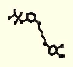 Oc1ccc(OCCCCOc2cccc(OC(F)(F)C(F)F)c2)cc1Cl